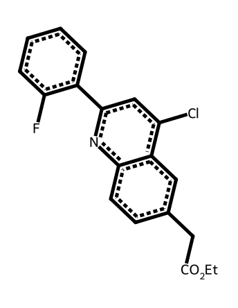 CCOC(=O)Cc1ccc2nc(-c3ccccc3F)cc(Cl)c2c1